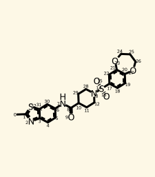 Cc1nc2ccc(NC(=O)C3CCN(S(=O)(=O)c4ccc5c(c4)OCCCO5)CC3)cc2s1